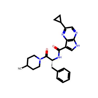 N#CC1CCN(C(=O)[C@@H](Cc2ccccc2)NC(=O)c2c[nH]c3ncc(C4CC4)nc23)CC1